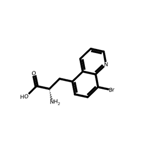 N[C@@H](Cc1ccc(Br)c2ncccc12)C(=O)O